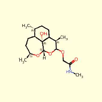 CNC(=O)COC1O[C@@H]2O[C@@H](C)CCC3[C@H](C)CCC([C@H]1C)[C@]32O